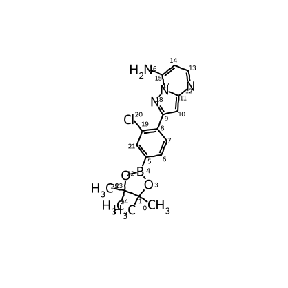 CC1(C)OB(c2ccc(-c3cc4nccc(N)n4n3)c(Cl)c2)OC1(C)C